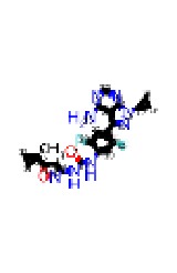 CC1(c2cc(NC(=O)Nc3cc(F)c(-c4nn(C5CC5)c5ncnc(N)c45)cc3F)no2)CC1